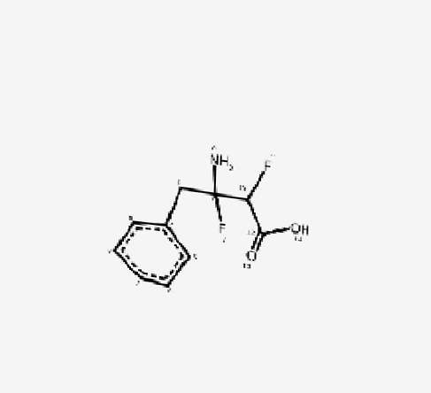 NC(F)(Cc1ccccc1)C(F)C(=O)O